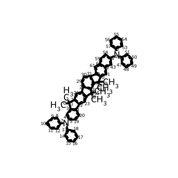 CC1(C)c2cc(N(c3ccccc3)c3ccccc3)ccc2-c2cc3c(cc21)-c1ccc2c(c1C3(C)C)C(C)(C)c1cc3cc(N(c4ccccc4)c4ccccc4)ccc3cc1-2